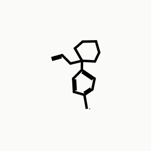 [CH2]c1ccc(C2(CC=C)CCCCC2)cc1